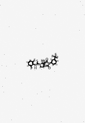 O=C1[C@H]2[C@H]3CC(CN3C(=S)Nc3c(F)cccc3F)N2C(=O)N1c1cccc(C(F)(F)F)c1